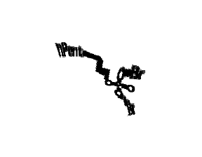 CCCCCCCCOP(=O)(OBr)OBr